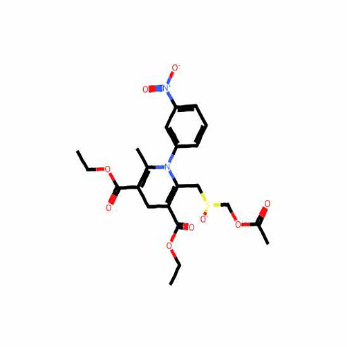 CCOC(=O)C1=C(C)N(c2cccc([N+](=O)[O-])c2)C(C[S+]([O-])COC(C)=O)=C(C(=O)OCC)C1